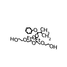 C=C(C)C(=O)Oc1ccccc1.CCOCC.OCCOCCOCCOCCO